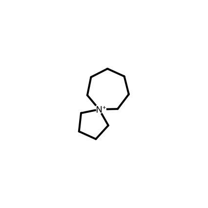 C1CCC[N+]2(CC1)CCCC2